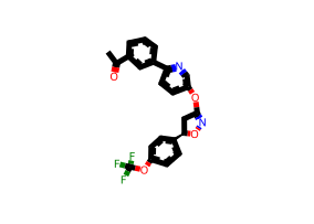 CC(=O)c1cccc(-c2ccc(OC3=NO[C@@H](c4ccc(OC(F)(F)F)cc4)C3)cn2)c1